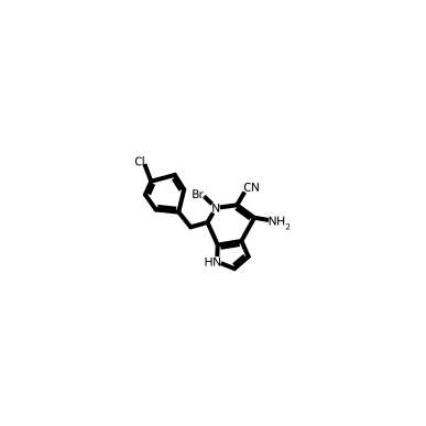 N#CC1=C(N)c2cc[nH]c2C(Cc2ccc(Cl)cc2)N1Br